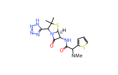 CNC(C(=O)NC1C(=O)N2C(c3nnn[nH]3)C(C)(C)S[C@@H]12)c1cccs1